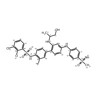 CC(CO)Nc1nc(Nc2ccc(S(C)(=N)=O)cc2)ncc1-c1ccc(NS(=O)(=O)c2cccc(Cl)c2Cl)c(F)c1